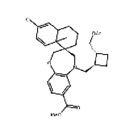 COC(=O)c1ccc2c(c1)N(C[C@@H]1CC[C@H]1COC(C)=O)C[C@@]1(CCCC3C=C(Cl)C=CC31C)CO2